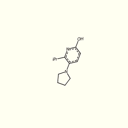 CC(C)c1nc(O)ccc1N1CCCC1